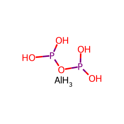 OP(O)OP(O)O.[AlH3]